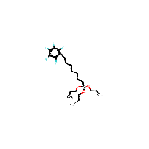 CCCO[Si](CCCCCCCc1c(F)c(F)c(F)c(F)c1F)(OCCC)OCCC